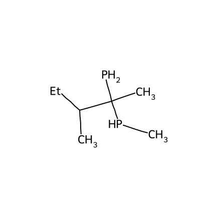 CCC(C)C(C)(P)PC